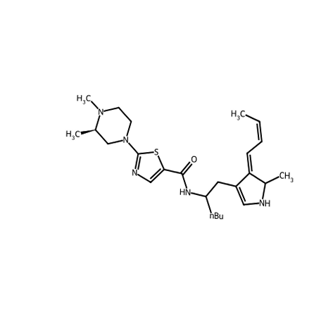 C/C=C\C=C1\C(CC(CCCC)NC(=O)c2cnc(N3CCN(C)[C@H](C)C3)s2)=CNC1C